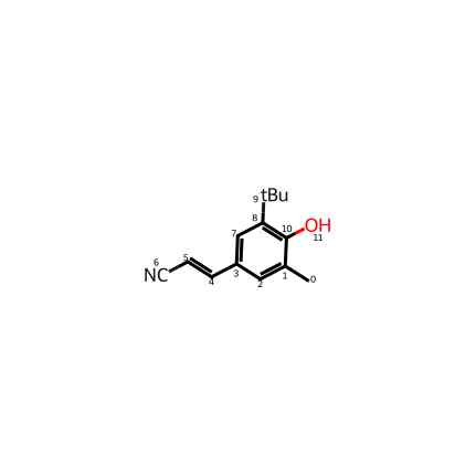 Cc1cc(C=CC#N)cc(C(C)(C)C)c1O